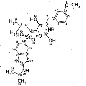 COc1cccc(CC(NC(=O)O)[C@H](O)CN(CC(C)C)S(=O)(=O)c2ccc3nc(NC(C)C)sc3c2)c1